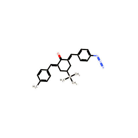 Cc1ccc(C=C2CC([Si](C)(C)C)CC(=Cc3ccc(N=[N+]=[N-])cc3)C2=O)cc1